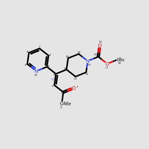 COC(=O)/C=C(/c1ccccn1)C1CCN(C(=O)OC(C)(C)C)CC1